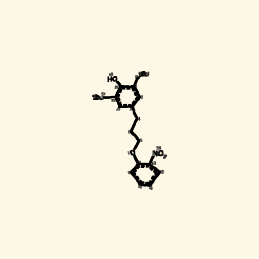 CC(C)(C)c1cc(CCCOc2ccccc2[N+](=O)[O-])cc(C(C)(C)C)c1O